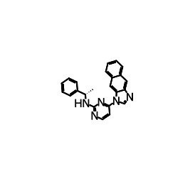 C[C@H](Nc1nccc(-n2cnc3cc4ccccc4cc32)n1)c1ccccc1